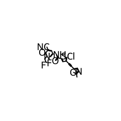 Cc1ncc(C#Cc2cc(C(=O)Nc3cc(C#N)c(=O)n(CC(F)F)c3)sc2Cl)o1